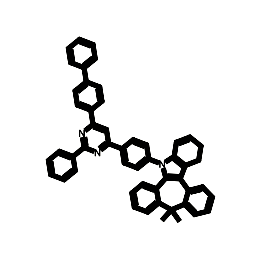 CC1(C)c2ccccc2-c2c3c(n(-c4ccc(-c5cc(-c6ccc(-c7ccccc7)cc6)nc(-c6ccccc6)n5)cc4)c2-c2ccccc21)C=CCC3